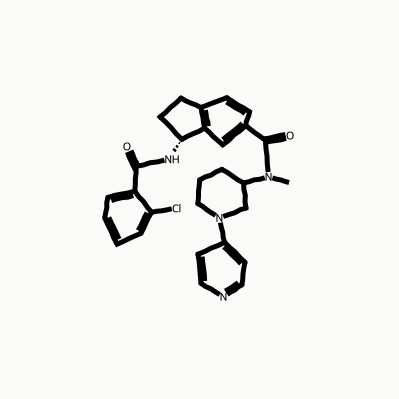 CN(C(=O)c1ccc2c(c1)[C@H](NC(=O)c1ccccc1Cl)CC2)C1CCCN(c2ccncc2)C1